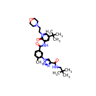 Cc1ccc(C(=O)Nc2cc(C(C)(C)C)cn(CCN3CCOCC3)c2=O)cc1-n1cc(C(=O)NCC(C)(C)C)nn1